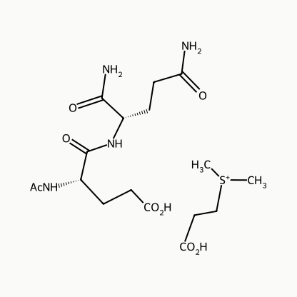 CC(=O)N[C@@H](CCC(=O)O)C(=O)N[C@@H](CCC(N)=O)C(N)=O.C[S+](C)CCC(=O)O